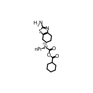 CCCN(C(=O)OC(=O)C1CCCCC1)[C@H]1CCc2nc(N)sc2C1